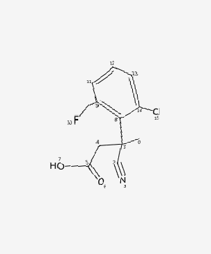 CC(C#N)(CC(=O)O)c1c(F)cccc1Cl